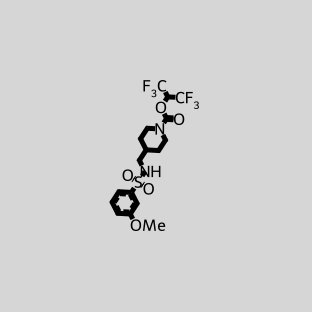 COc1cccc(S(=O)(=O)NCC2CCN(C(=O)OC(C(F)(F)F)C(F)(F)F)CC2)c1